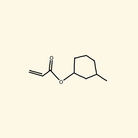 C=CC(=O)OC1CCCC(C)C1